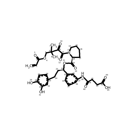 C=CC(=O)OCC(C)(C)C(=O)C(=O)N1CCCC[C@H]1C(=O)O[C@H](CCc1ccc(O)c(O)c1)c1cccc(NC(=O)CCC(=O)O)c1